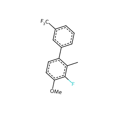 COc1ccc(-c2cccc(C(F)(F)F)c2)c(C)c1F